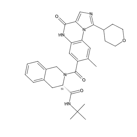 Cc1cc2c(cc1C(=O)N1Cc3ccccc3C[C@H]1C(=O)NC(C)(C)C)[nH]c(=O)c1cnc(C3CCOCC3)n12